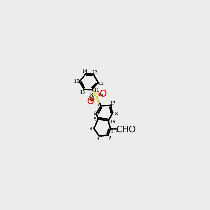 O=CC1=CCCc2cc(S(=O)(=O)c3ccccc3)ccc21